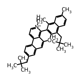 Cc1ccc2c(CC(C)(C)C)c3c(c(C)c2c1)-c1c2c(cc4cc(CC(C)(C)C)ccc4c2cc[n+]1C)O3